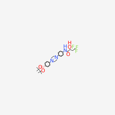 CC1(C)OB(c2ccc(N3CCN(c4ccc(NC(=O)C(O)CC(F)(F)F)cc4)CC3)cc2)OC1(C)C